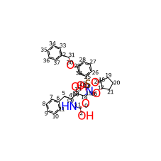 O=C(O)N[C@@H](Cc1ccccc1)[C@@H](O)CN(OC1CCCC1)S(=O)(=O)c1cccc(OCc2ccccc2)c1